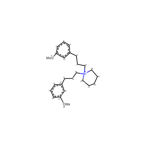 COc1cccc(CCC[N+]2(CCCc3cccc(OC)c3)CCCCC2)c1